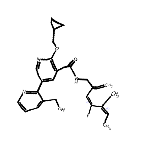 C=C(/C=C(F)\C(C)=C/C)CNC(=O)c1cc(-c2ncccc2CO)cnc1OCC1CC1